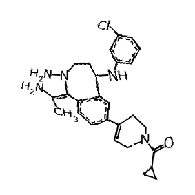 C/C(N)=C1\c2ccc(C3=CCN(C(=O)C4CC4)CC3)cc2C(Nc2cccc(Cl)c2)CCN1N